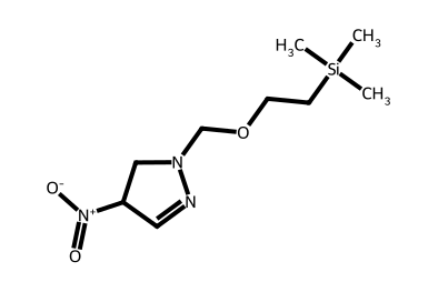 C[Si](C)(C)CCOCN1CC([N+](=O)[O-])C=N1